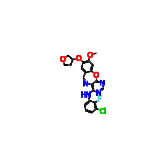 COc1cc2c(cc1OC1CCOC1)C=Nc1c(Nc3cccc(Cl)c3F)ncnc1O2